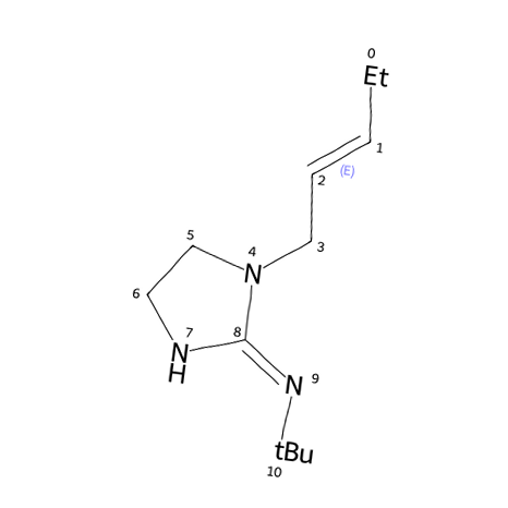 CC/C=C/CN1CCNC1=NC(C)(C)C